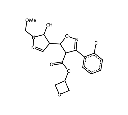 COCN1N=CC(C2ON=C(c3ccccc3Cl)C2C(=O)OC2COC2)C1C